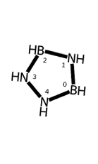 B1NBNN1